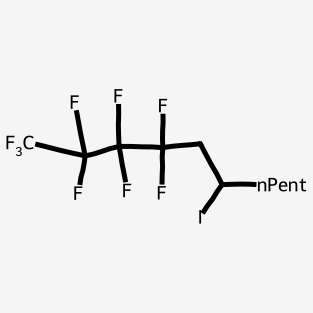 CCCCCC(I)CC(F)(F)C(F)(F)C(F)(F)C(F)(F)F